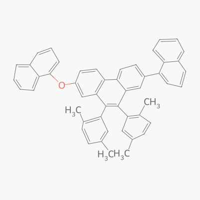 Cc1ccc(C)c(-c2c(-c3cc(C)ccc3C)c3cc(-c4cccc5ccccc45)ccc3c3ccc(Oc4cccc5ccccc45)cc23)c1